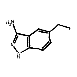 Nc1n[nH]c2ccc(CF)cc12